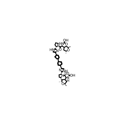 C[C@@H]1CC([C@H](NC(=O)O)C(=O)N2[C@@H](C)CC[C@H]2c2nc(-c3ccc(-c4ccc(-c5c[nH]c([C@@H]6CC[C@H](C)N6C(=O)[C@@H](NC(=O)O)C6C[C@@H](C)O[C@H](C)C6)n5)cc4)cc3)c[nH]2)C[C@@H](C)O1